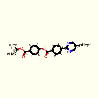 CCCCCCCc1cnc(-c2ccc(C(=O)Oc3ccc(C(=O)O[C@@H](CCCCCC)C(F)(F)F)cc3)cc2)nc1